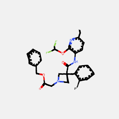 Cc1ccc(NC(=O)C2(c3ccccc3C(C)C)CN(CC(=O)OCc3ccccc3)C2)c(OC(F)F)n1